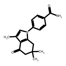 Cc1cn(-c2ccc(C(N)=O)cc2)c2c1C(=O)CC(C)(C)C2